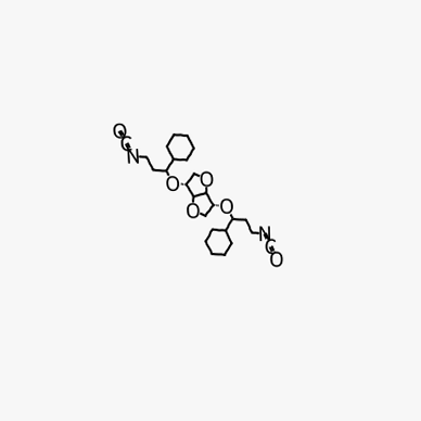 O=C=NCCC(O[C@@H]1COC2C1OC[C@H]2OC(CCN=C=O)C1CCCCC1)C1CCCCC1